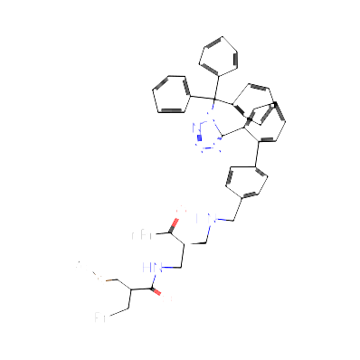 CCCC(=O)[C@@H](CNCc1ccc(-c2ccccc2-c2nnnn2C(c2ccccc2)(c2ccccc2)c2ccccc2)cc1)CNC(=O)C(CSC(C)=O)CC(C)C